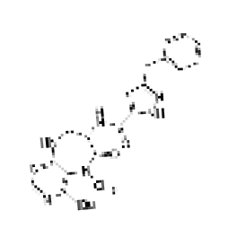 CCC(C)c1ncnc2c1N(C)C(=O)[C@@H](NC(=O)c1cc(Cc3ccccc3)n[nH]1)CN2